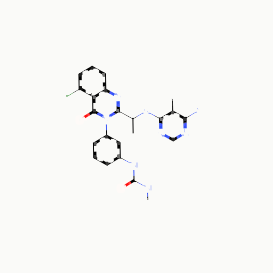 CCNC(=O)Nc1cccc(-n2c(C(C)Nc3ncnc(N)c3C(=O)O)nc3cccc(Cl)c3c2=O)c1